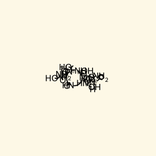 CC(O)[C@H]1CN[C@@H](CO)C(=O)N[C@H](C(=O)N[C@@H](CO)C(=O)N[C@@H](Cc2ccccc2)C(N)=O)CCCCNC(=O)CC[C@H](NC(=O)[C@@H](N)CO)C(=O)N1